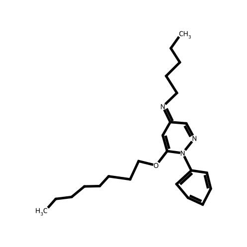 CCCCCCCCOc1cc(=NCCCCC)cnn1-c1ccccc1